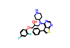 OC(COc1ccc(F)cc1F)CN(c1ncnc2scc(-c3ccccc3)c12)C1CCNCC1